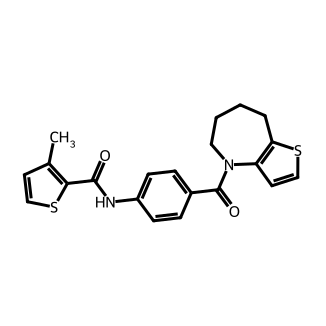 Cc1ccsc1C(=O)Nc1ccc(C(=O)N2CCCCc3sccc32)cc1